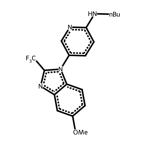 CCCCNc1ccc(-n2c(C(F)(F)F)nc3cc(OC)ccc32)cn1